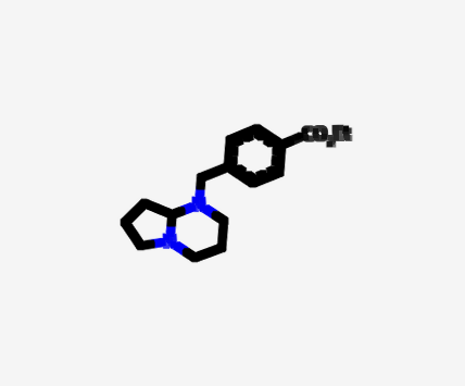 CCOC(=O)c1ccc(CN2CCCN3CCCC32)cc1